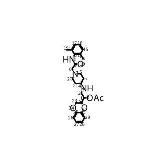 CC(=O)OC(CNC1CCN(CC(=O)Nc2c(C)cccc2C)CC1)C1COc2ccccc2O1